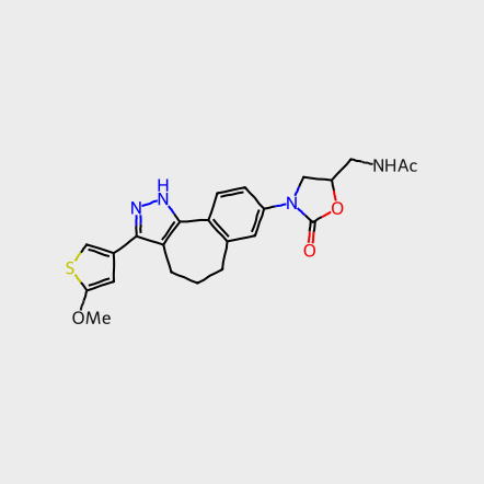 COc1cc(-c2n[nH]c3c2CCCc2cc(N4CC(CNC(C)=O)OC4=O)ccc2-3)cs1